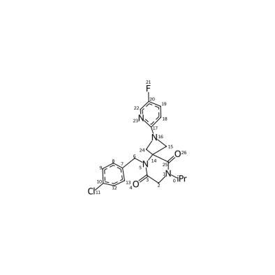 CC(C)N1CC(=O)N(Cc2ccc(Cl)cc2)C2(CN(c3ccc(F)cn3)C2)C1=O